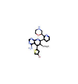 CCCCCCCc1c(-c2cccnc2C2CNCCO2)nc2ncnc(N)c2c1-c1cc(Br)cs1